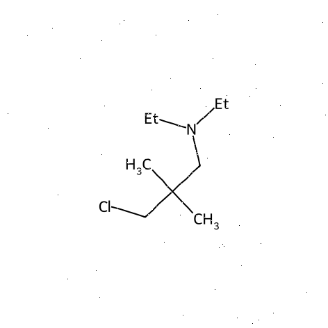 CCN(CC)CC(C)(C)CCl